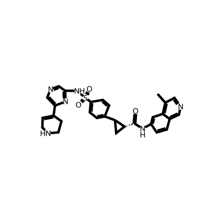 Cc1cncc2ccc(NC(=O)[C@@H]3CC3c3ccc(S(=O)(=O)Nc4cncc(C5=CCNCC5)n4)cc3)cc12